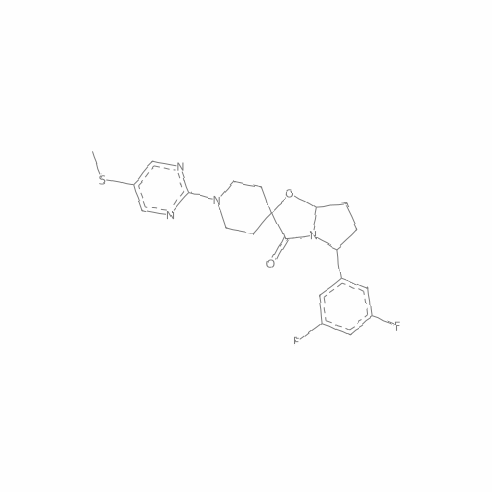 CSc1cnc(N2CCC3(CC2)OC2CCC(c4cc(F)cc(F)c4)N2C3=O)nc1